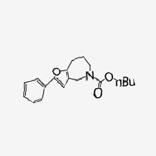 CCCCOC(=O)N1CCCc2oc(-c3ccccc3)cc2C1